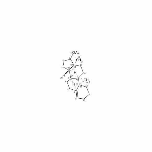 CC(=O)OC1CC[C@H]2[C@@H]3CCC4=CCCC[C@]4(C)[C@@H]3CC[C@]12C